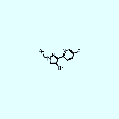 [2H]Cn1cc(Br)c(-c2ccc(F)cn2)n1